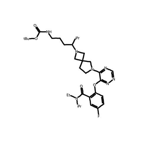 CCN(C(=O)c1cc(F)ccc1Oc1nncnc1N1CCC2(C1)CN(C(CCCNC(=O)OC(C)(C)C)C(C)C)C2)C(C)C